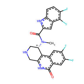 CN(C(=O)c1cc2c(F)c(F)ccc2[nH]1)[C@H]1CNCc2[nH]c(=O)c3cc(F)c(F)cc3c21